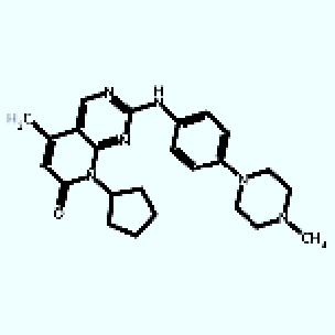 Cc1cc(=O)n(C2CCCC2)c2nc(Nc3ccc(N4CCN(C)CC4)cc3)ncc12